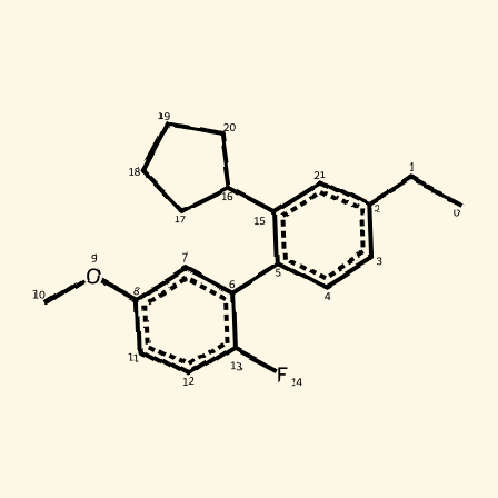 CCc1ccc(-c2cc(OC)ccc2F)c(C2CCCC2)c1